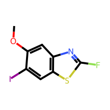 COc1cc2nc(F)sc2cc1I